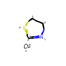 [C]1=NCCS1.[Cu]